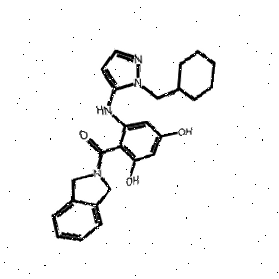 O=C(c1c(O)cc(O)cc1Nc1ccnn1CC1CCCCC1)N1Cc2ccccc2C1